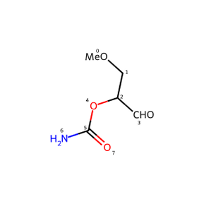 COCC(C=O)OC(N)=O